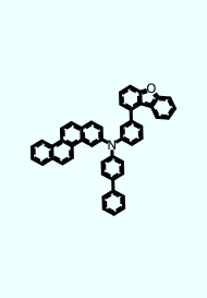 c1ccc(-c2ccc(N(c3cccc(-c4cccc5oc6ccccc6c45)c3)c3ccc4ccc5c6ccccc6ccc5c4c3)cc2)cc1